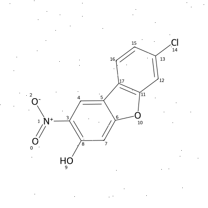 O=[N+]([O-])c1cc2c(cc1O)oc1cc(Cl)ccc12